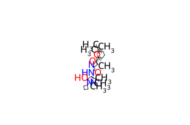 CC1=C(NC(=O)c2noc([C@@H]3CCC[C@H](C(C)(C)C)O3)c2C)C(O)N(C2CCC2)[N+]1(C)C